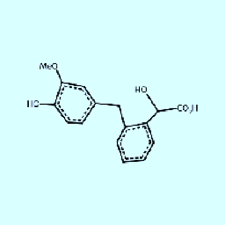 COc1cc(Cc2ccccc2C(O)C(=O)O)ccc1O